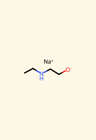 CCNCC[O-].[Na+]